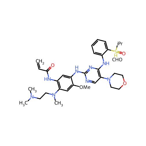 C=CC(=O)Nc1cc(Nc2ncc(N3CCOCC3)c(Nc3ccccc3[SH](=O)(C=O)C(C)C)n2)c(OC)cc1N(C)CCN(C)C